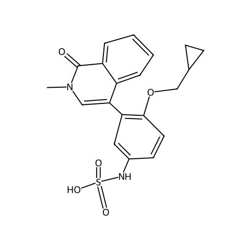 Cn1cc(-c2cc(NS(=O)(=O)O)ccc2OCC2CC2)c2ccccc2c1=O